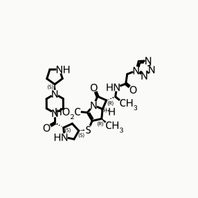 CC(NC(=O)Cn1cnnn1)[C@H]1C(=O)N2C(C(=O)O)=C(S[C@@H]3CN[C@H](C(=O)N4CCN([C@H]5CCNC5)CC4)C3)[C@H](C)[C@H]12